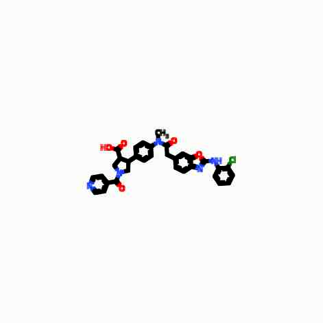 CN(C(=O)Cc1ccc2nc(Nc3ccccc3Cl)oc2c1)c1ccc(C2CN(C(=O)c3ccncc3)CC2C(=O)O)cc1